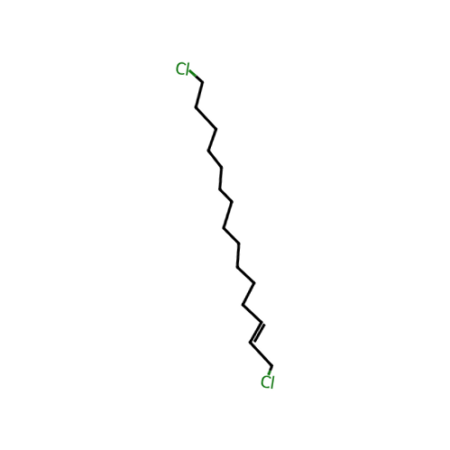 ClCC=CCCCCCCCCCCCCCl